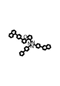 c1ccc(-c2ccc(-c3nc(-c4ccc(-c5ccc6ccccc6c5)cc4)nc(-c4cccc5oc6c(-c7ccc(-c8cccc9ccccc89)cc7)cccc6c45)n3)cc2)cc1